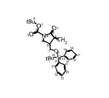 C=C1C(=O)N(C(=O)OC(C)(C)C)CC1CO[Si](c1ccccc1)(c1ccccc1)C(C)(C)C